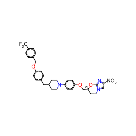 O=[N+]([O-])c1cn2c(n1)O[C@H](COc1ccc(N3CCC(Cc4ccc(OCc5ccc(C(F)(F)F)cc5)cc4)CC3)cc1)CC2